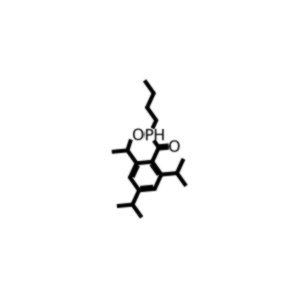 CCCC[PH](=O)C(=O)c1c(C(C)C)cc(C(C)C)cc1C(C)C